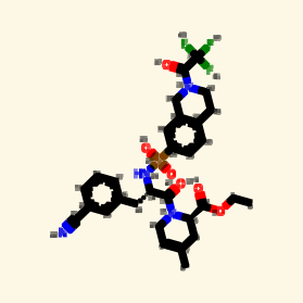 CCOC(=O)[C@H]1CC(C)=CCN1C(=O)[C@H](Cc1cccc(C#N)c1)NS(=O)(=O)c1ccc2c(c1)CN(C(=O)C(F)(F)F)CC2